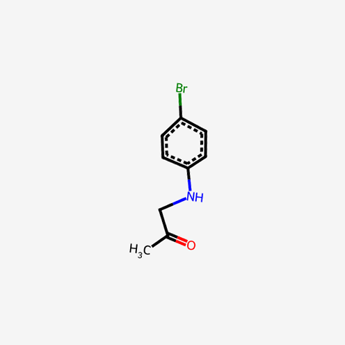 CC(=O)CNc1ccc(Br)cc1